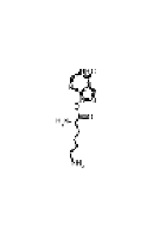 NCCCC[C@H](N)C(=O)On1ncc2c(=O)[nH]cnc21